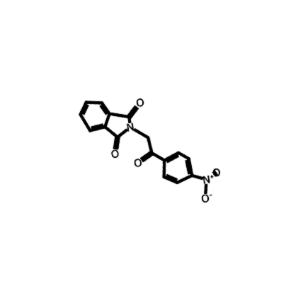 O=C(CN1C(=O)c2ccccc2C1=O)c1ccc([N+](=O)[O-])cc1